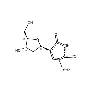 CCCCCCc1cn([C@H]2C[C@H](O)[C@@H](CO)O2)c(=O)[nH]c1=O